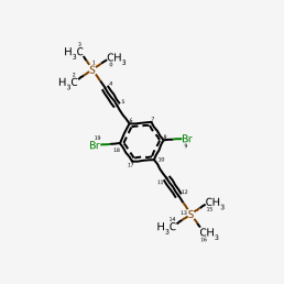 CS(C)(C)C#Cc1cc(Br)c(C#CS(C)(C)C)cc1Br